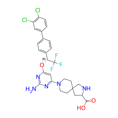 Nc1nc(O[C@H](c2ccc(-c3ccc(Cl)c(Cl)c3)cc2)C(F)(F)F)cc(N2CCC3(CC2)CNC(C(=O)O)C3)n1